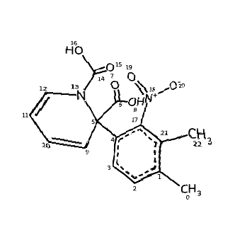 Cc1ccc(C2(C(=O)O)C=CC=CN2C(=O)O)c([N+](=O)[O-])c1C